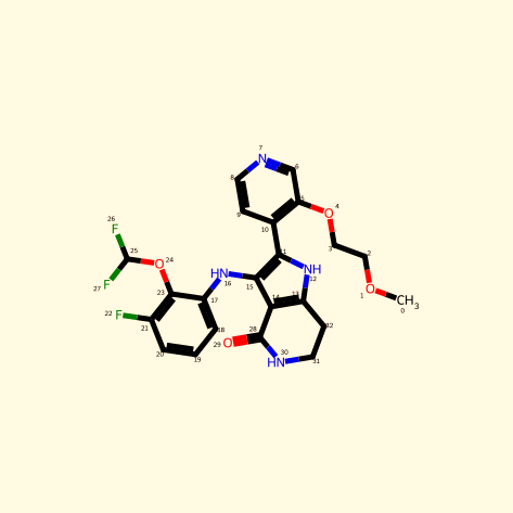 COCCOc1cnccc1-c1[nH]c2c(c1Nc1cccc(F)c1OC(F)F)C(=O)NCC2